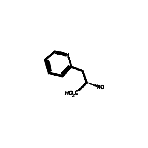 O=N[C@@H](Cc1ccccn1)C(=O)O